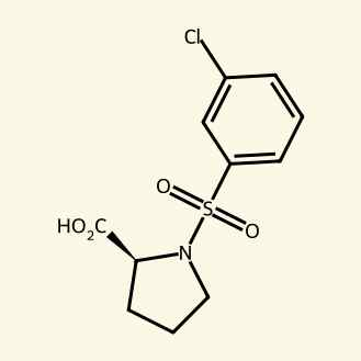 O=C(O)[C@@H]1CCCN1S(=O)(=O)c1cccc(Cl)c1